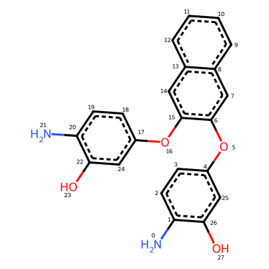 Nc1ccc(Oc2cc3ccccc3cc2Oc2ccc(N)c(O)c2)cc1O